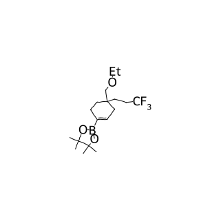 CCOCC1(CCC(F)(F)F)CC=C(B2OC(C)(C)C(C)(C)O2)CC1